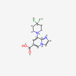 O=C(O)c1cc(N2CCC(F)(F)CC2)c2nccn2c1